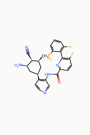 C[C@H]1C[C@@H](c2ccncc2NC(=O)c2ccc(F)c(-c3c(F)cccc3P)n2)C[C@@H](N)[C@H]1C#N